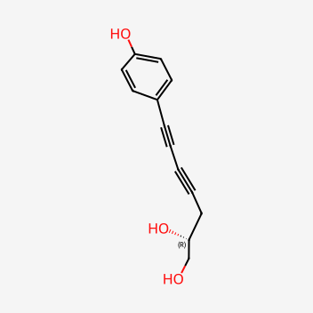 OC[C@H](O)CC#CC#Cc1ccc(O)cc1